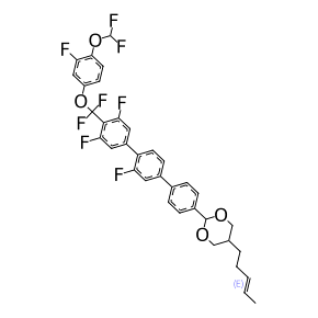 C/C=C/CCC1COC(c2ccc(-c3ccc(-c4cc(F)c(C(F)(F)Oc5ccc(OC(F)F)c(F)c5)c(F)c4)c(F)c3)cc2)OC1